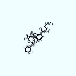 COC[C@H](C)NC(=O)c1ccc(F)c([C@]2(C(F)F)N=C(Nc3ccccc3)O[C@H]3C[C@H]32)c1